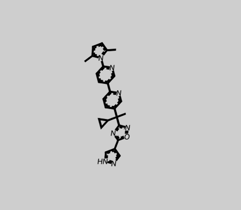 Cc1ccc(C)n1-c1ccc(-c2ccc(C(C)(c3noc(-c4cn[nH]c4)n3)C3CC3)cn2)cn1